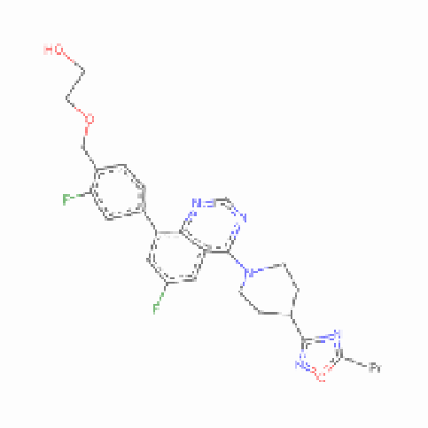 CC(C)c1nc(C2CCN(c3ncnc4c(-c5ccc(COCCO)c(F)c5)cc(F)cc34)CC2)no1